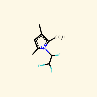 Cc1cc(C)n(C(F)C(F)F)c1C(=O)O